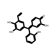 C=Cc1cc(/C(=C2\C=CC(=O)C(O)=C2)c2ccccc2S)cc(O)c1O